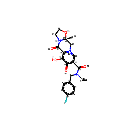 CC(C)(C)N(Cc1ccc(F)cc1)C(=O)c1cn2c(c(O)c1=O)C(=O)N1CCO[C@@H]1C2